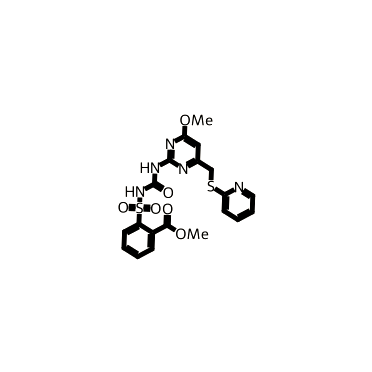 COC(=O)c1ccccc1S(=O)(=O)NC(=O)Nc1nc(CSc2ccccn2)cc(OC)n1